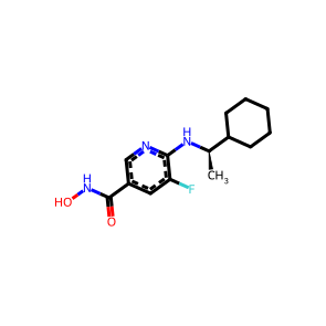 C[C@@H](Nc1ncc(C(=O)NO)cc1F)C1CCCCC1